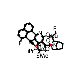 CSc1nc2c3c(nc(-c4cccc5ccc(F)c(C#C[Si](C(C)C)(C(C)C)C(C)C)c45)c(F)c3n1)OC(CF)C1C3CCC(CN21)N3C(=O)OC(C)(C)C